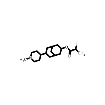 CC(I)C(=O)OC1CC2CC(C1)CC(C1CCN(C)CC1)C2